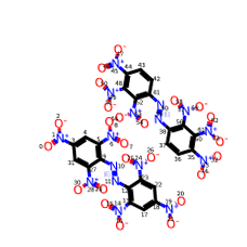 O=[N+]([O-])c1cc([N+](=O)[O-])c(/N=N/c2c([N+](=O)[O-])cc([N+](=O)[O-])cc2[N+](=O)[O-])c([N+](=O)[O-])c1.O=[N+]([O-])c1ccc(/N=N/c2ccc([N+](=O)[O-])c([N+](=O)[O-])c2[N+](=O)[O-])c([N+](=O)[O-])c1[N+](=O)[O-]